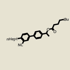 CCCCCCCc1ccc(-c2ccc(C(C)OC(=O)CCCC(C)CC)cc2)cc1C#N